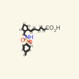 Cc1ccc(S(=O)(=O)NCC2CCCC2C=CCCCC(=O)O)cc1